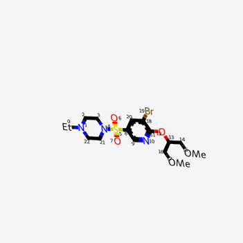 CCN1CCN(S(=O)(=O)c2cnc(OC(COC)COC)c(Br)c2)CC1